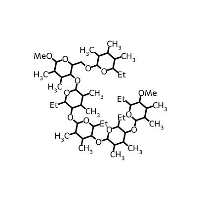 CCC1OC(OCC2OC(OC)C(C)C(C)C2OC2OC(CC)C(OC3OC(CC)C(OC4OC(CC)C(OC5OC(CC)C(OC)C(C)C5C)C(C)C4C)C(C)C3C)C(C)C2C)C(C)C(C)C1C